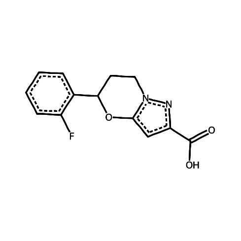 O=C(O)c1cc2n(n1)CCC(c1ccccc1F)O2